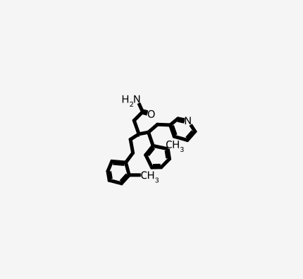 Cc1ccccc1CC[C](CC(N)=O)C(Cc1cccnc1)c1ccccc1C